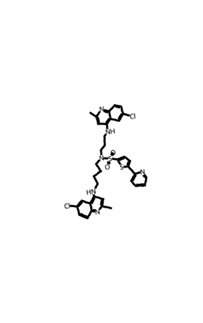 Cc1cc(NCCCCN(CCCNc2cc(C)nc3ccc(Cl)cc23)S(=O)(=O)c2ccc(-c3ccccn3)s2)c2cc(Cl)ccc2n1